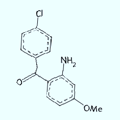 COc1ccc(C(=O)c2ccc(Cl)cc2)c(N)c1